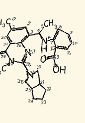 Cc1cc(C(C)Nc2ccccc2C(=O)O)c2nc(N3CC4CCCC4C3)n(C)c(=O)c2c1